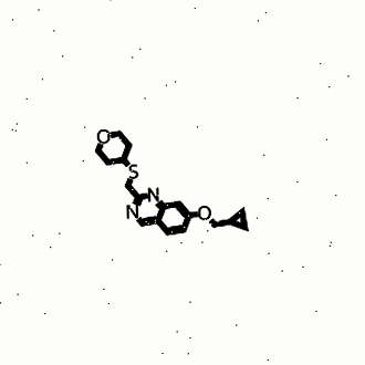 c1cc2cnc(CSC3CCOCC3)nc2cc1OCC1CC1